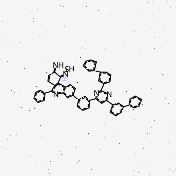 N=C1C=Cc2c(-c3ccccc3)nc3cc(-c4cccc(-c5cc(-c6cccc(-c7ccccc7)c6)nc(-c6cccc(-c7ccccc7)c6)n5)c4)ccc3c2/C1=N/S